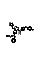 O=C(Nc1ccc(Oc2ccc(F)cc2)cc1)[C@@H]1C[C@@H](N(Cc2ccccc2)C(=O)O)CN1C(=O)Cn1cncn1